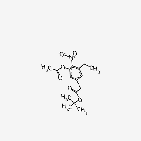 CCc1cc(CC(=O)OC(C)(C)C)cc(OC(C)=O)c1[N+](=O)[O-]